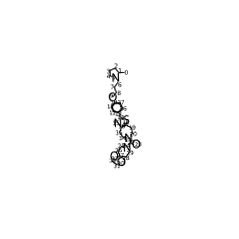 CC1CCCN1CCCOc1ccc(-c2nc3c(s2)CCN(C(=O)N2CCC4(CC2)OCCO4)CC3)cc1